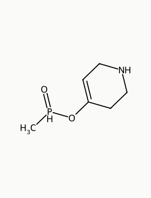 C[PH](=O)OC1=CCNCC1